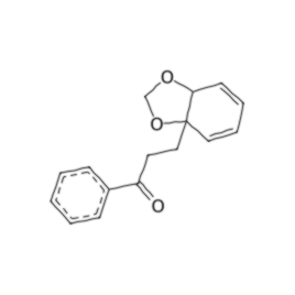 O=C(CCC12C=CC=CC1OCO2)c1ccccc1